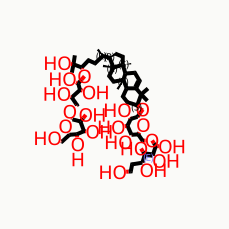 C[C@H](CCC(OC(O)C(O)C(O)COC1OC(CO)C(O)C(O)C1O)C(C)(C)O)[C@H]1CC[C@@]2(C)C3CC=C4C(CC[C@H](OC5OC(COC(O)/C(O)=C(\O)C(O)CCO)C(O)C(O)C5O)C4(C)C)[C@]3(C)CC[C@]12C